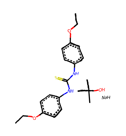 CC(C)(C)O.CCOc1ccc(NC(=S)Nc2ccc(OCC)cc2)cc1.[NaH]